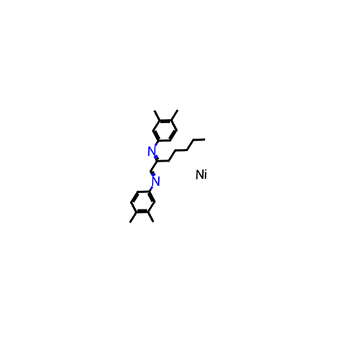 CCCCCC(/C=N/c1ccc(C)c(C)c1)=N\c1ccc(C)c(C)c1.[Ni]